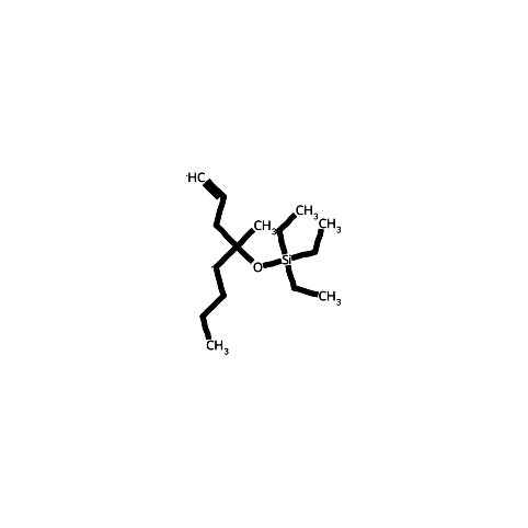 [CH]=CCC(C)([CH]CCC)O[Si](CC)(CC)CC